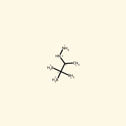 BC(B)(B)C(C)NN